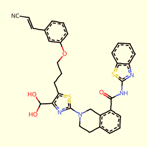 N#C/C=C/c1cccc(OCCCc2sc(N3CCc4cccc(C(=O)Nc5nc6ccccc6s5)c4C3)nc2C(O)O)c1